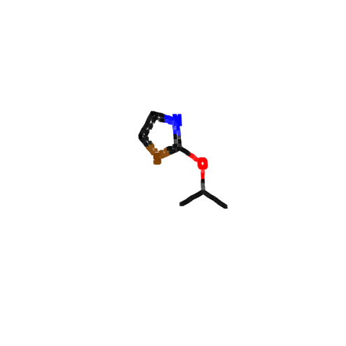 CC(C)Oc1nccs1